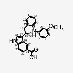 COc1cccc(Nc2ccccc2CC(=O)c2c[nH]c3ccc(C(=O)O)cc23)c1